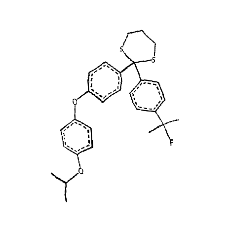 CC(C)Oc1ccc(Oc2ccc(C3(c4ccc(C(C)(C)F)cc4)SCCCS3)cc2)cc1